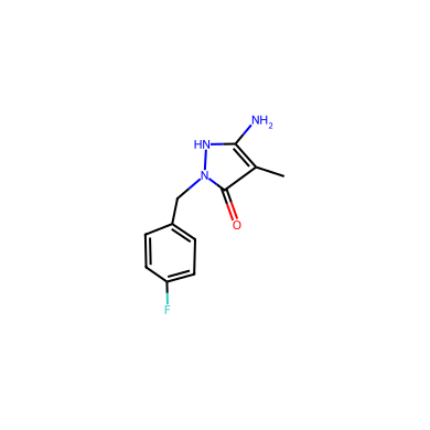 Cc1c(N)[nH]n(Cc2ccc(F)cc2)c1=O